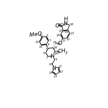 COc1ccc([C@@H]2CCN(CCn3cccc3)[C@H](C)[C@H]2COc2ccc3c(c2)C(=O)NC3)cc1